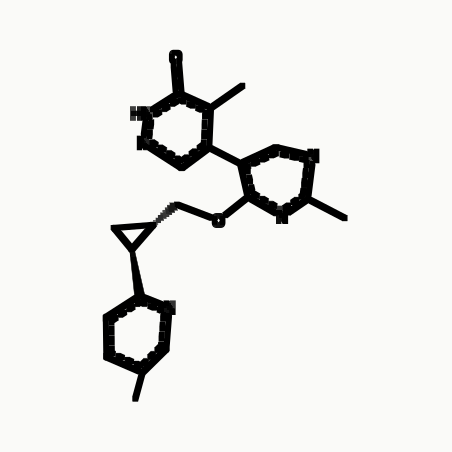 Cc1ccc([C@H]2C[C@@H]2COc2nc(C)ncc2-c2cn[nH]c(=O)c2C)nc1